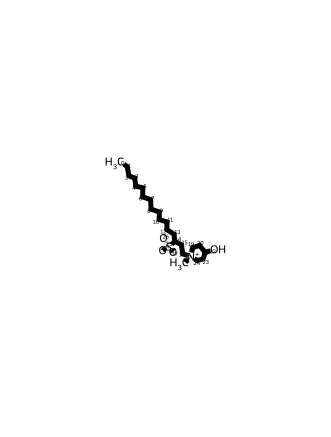 CCCCCCCCCCCCCCC(CC[N+]1(C)CCC(O)CC1)S(=O)(=O)[O-]